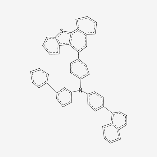 c1ccc(-c2cccc(N(c3ccc(-c4cccc5ccccc45)cc3)c3ccc(-c4cc5ccccc5c5sc6ccccc6c45)cc3)c2)cc1